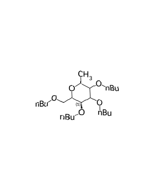 CCCCOCC1OC(C)C(OCCCC)C(OCCCC)[C@H]1OCCCC